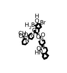 Bc1cc(C[C@@H](OC(=O)N2CCC(N3CCc4ccccc4NC3=O)CC2)C(=O)N2CCC(N3CCCC[C@H]3C(=O)OC)CC2)cc(Br)c1O